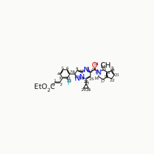 CCOC(=O)/C=C/c1cccc(-c2cc3nc(C(=O)N4CCC5=C(C=CC5)[C@H]4C)cc(C4CC4)n3n2)c1F